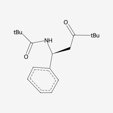 CC(C)(C)C(=O)C[C@H](NC(=O)C(C)(C)C)c1ccccc1